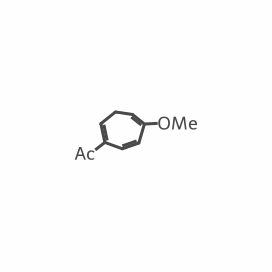 COC1=CCC=C(C(C)=O)C=C1